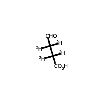 [2H]C([2H])(C=O)C([2H])([2H])C(=O)O